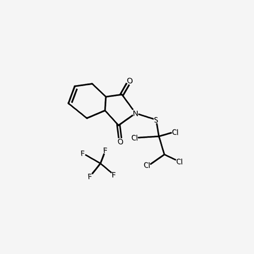 FC(F)(F)F.O=C1C2CC=CCC2C(=O)N1SC(Cl)(Cl)C(Cl)Cl